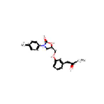 COC(=O)Cc1cccc(OCC2CN(c3ccc(C#N)cc3)C(=O)O2)c1